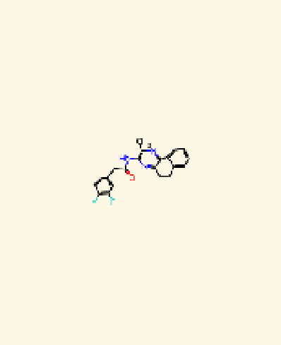 Cc1nc2c(nc1NC(=O)Cc1ccc(F)c(F)c1)CCc1ccccc1-2